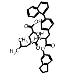 CC(C)CN(CC(O)C(=O)O)C(=O)NC(Cc1ccc(-c2cccc3ccccc23)cc1)C(=O)Oc1ccc2c(c1)CCC2